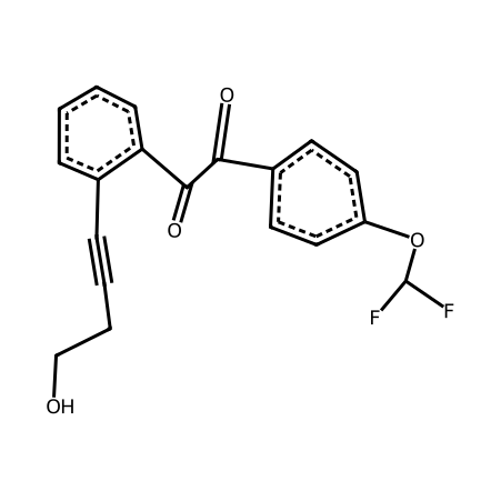 O=C(C(=O)c1ccccc1C#CCCO)c1ccc(OC(F)F)cc1